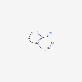 CC/C=C\c1cccnc1C=N